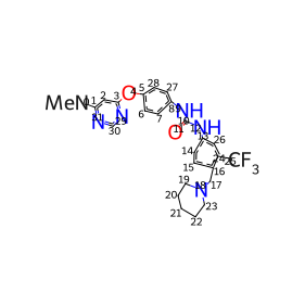 CNc1cc(Oc2ccc(NC(=O)Nc3ccc(CN4CCCCC4)c(C(F)(F)F)c3)cc2)ncn1